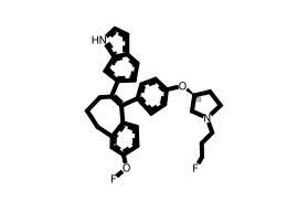 FCCCN1CC[C@H](Oc2ccc(C3=C(c4ccc5cc[nH]c5c4)CCCc4cc(OF)ccc43)cc2)C1